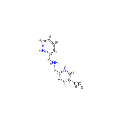 FC(F)(F)c1ccc(CNCc2ccccn2)nc1